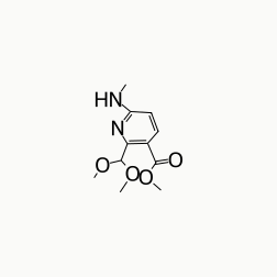 CNc1ccc(C(=O)OC)c(C(OC)OC)n1